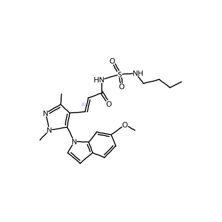 CCCCNS(=O)(=O)NC(=O)/C=C/c1c(C)nn(C)c1-n1ccc2ccc(OC)cc21